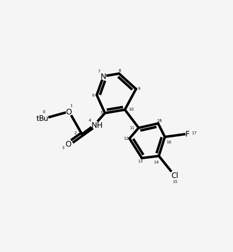 CC(C)(C)OC(=O)Nc1cnccc1-c1ccc(Cl)c(F)c1